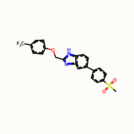 CS(=O)(=O)c1ccc(-c2ccc3[nH]c(COc4ccc(C(F)(F)F)cc4)nc3c2)cc1